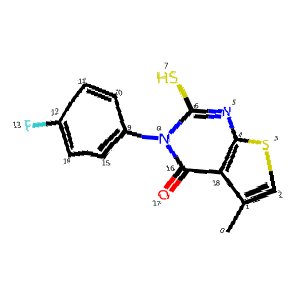 Cc1csc2nc(S)n(-c3ccc(F)cc3)c(=O)c12